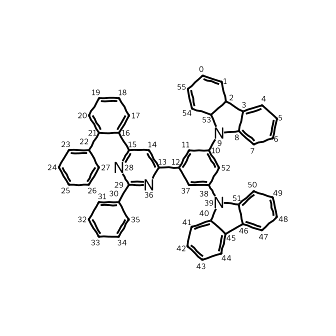 C1=CC2c3ccccc3N(c3cc(-c4cc(-c5ccccc5-c5ccccc5)nc(-c5ccccc5)n4)cc(-n4c5ccccc5c5ccccc54)c3)C2C=C1